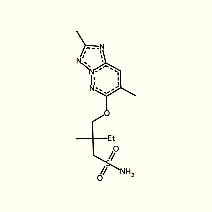 CCC(C)(COc1nn2nc(C)nc2cc1C)CS(N)(=O)=O